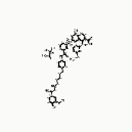 COc1cccc(Nc2c(C(N)=O)cnc3c(C)cc(S(=O)(=O)c4cccc(C(=O)Nc5ccc(CCCCCNCC(O)c6ccc(O)c(CO)c6)cc5)c4)cc23)c1.O=C(O)C(F)(F)F